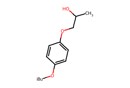 CCC(C)Oc1ccc(OCC(C)O)cc1